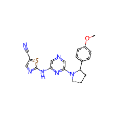 COc1ccc(C2CCCN2c2cncc(Nc3ncc(C#N)s3)n2)cc1